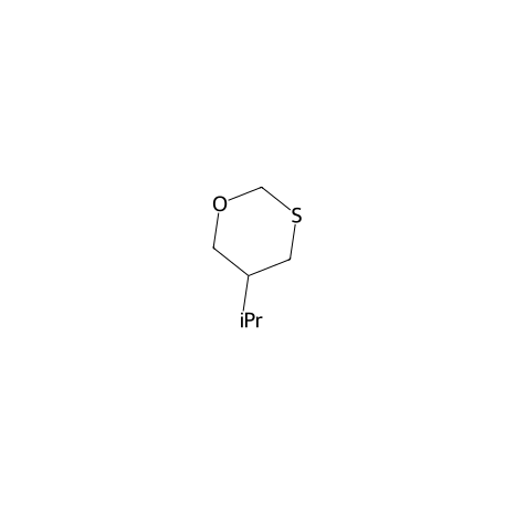 CC(C)C1COCSC1